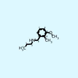 CCCNCc1cccc(OC)c1C